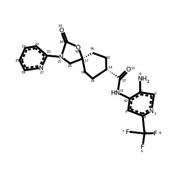 Nc1cnc(C(F)(F)F)cc1NC(=O)[C@H]1CC[C@]2(CC1)CN(c1ccccn1)C(=O)O2